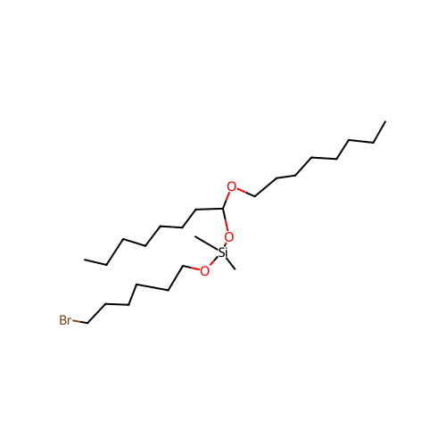 CCCCCCCCOC(CCCCCCC)O[Si](C)(C)OCCCCCCBr